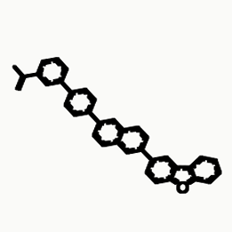 C=C(C)c1cccc(-c2ccc(-c3ccc4cc(-c5ccc6oc7ccccc7c6c5)ccc4c3)cc2)c1